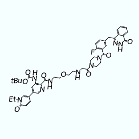 CCn1cc(-c2cnc(C(=O)NCCOCCNCC(=O)N3CCN(C(=O)c4cc(Cc5n[nH]c(=O)c6ccccc56)ccc4F)CC3)c(NC(=O)OC(C)(C)C)c2)ccc1=O